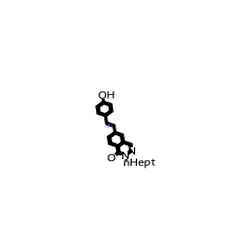 CCCCCCCn1ncc2cc(/C=C/c3ccc(O)cc3)ccc2c1=O